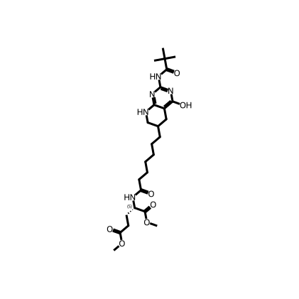 COC(=O)CC[C@H](NC(=O)CCCCCCC1CNc2nc(NC(=O)C(C)(C)C)nc(O)c2C1)C(=O)OC